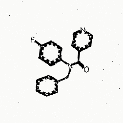 O=C(c1ccncc1)N(Cc1ccccc1)c1ccc(F)cc1